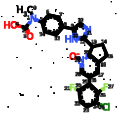 CN(C(=O)O)c1ccc(-c2cnc(C3CCc4cc(-c5c(F)ccc(Cl)c5F)c[n+]([O-])c43)[nH]2)cc1